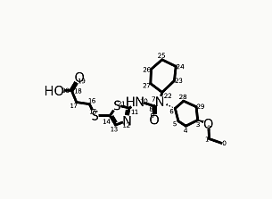 CCO[C@H]1CC[C@H](N(C(=O)Nc2ncc(SCCC(=O)O)s2)C2CCCCC2)CC1